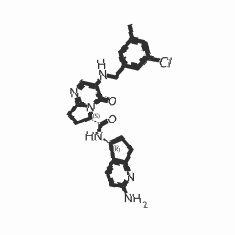 Cc1cc(Cl)cc(CNc2cnc3n(c2=O)[C@H](C(=O)N[C@@H]2CCc4nc(N)ccc42)CC3)c1